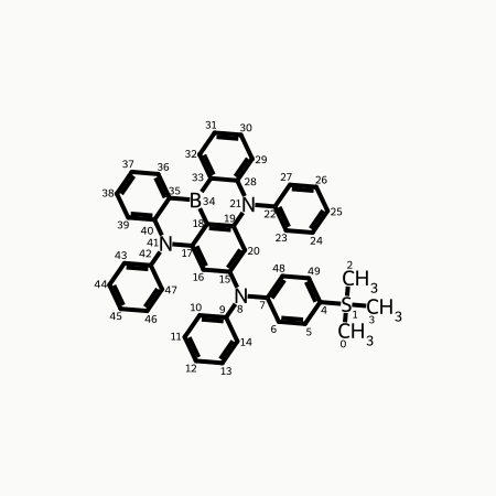 CS(C)(C)c1ccc(N(c2ccccc2)c2cc3c4c(c2)N(c2ccccc2)c2ccccc2B4c2ccccc2N3c2ccccc2)cc1